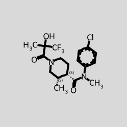 C[C@@H]1CN(C(=O)C(C)(O)C(F)(F)F)CC[C@@H]1C(=O)N(C)c1ccc(Cl)cc1